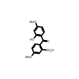 COc1ccc(C(=O)c2ccc(OC)cc2S(=O)(=O)O)c(O)c1